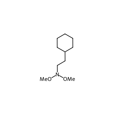 CON(CCC1CCCCC1)OC